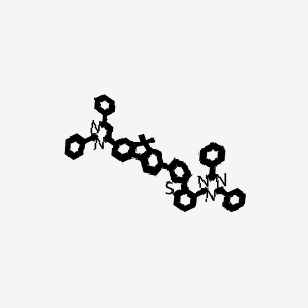 CC1(C)c2cc(-c3cc(-c4ccccc4)nc(-c4ccccc4)n3)ccc2-c2ccc(-c3cccc4c3sc3cccc(-c5nc(-c6ccccc6)nc(-c6ccccc6)n5)c34)cc21